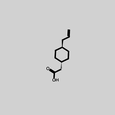 C=CC[C@H]1CC[C@H](CC(=O)O)CC1